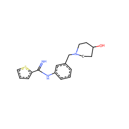 N=C(Nc1cccc(CN2CCC(O)CC2)c1)c1cccs1